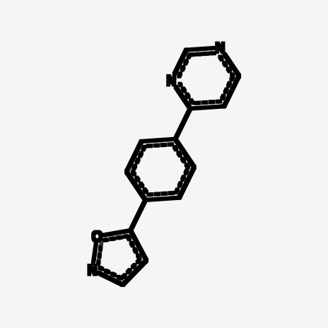 c1cc(-c2ccc(-c3ccno3)cc2)ncn1